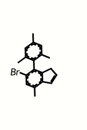 Cc1cc(C)c(-c2c(Br)cc(C)c3c2CC=C3)c(C)c1